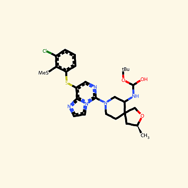 CSc1c(Cl)cccc1Sc1cnc(N2CCC3(CO[C@@H](C)C3)C(NC(O)OC(C)(C)C)C2)n2ccnc12